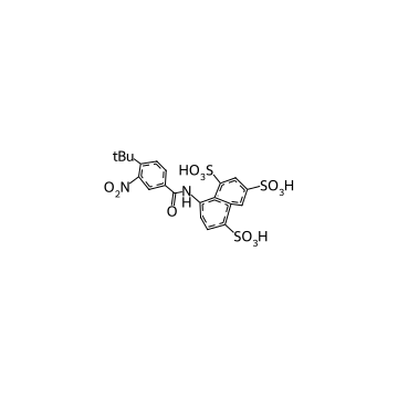 CC(C)(C)c1ccc(C(=O)Nc2ccc(S(=O)(=O)O)c3cc(S(=O)(=O)O)cc(S(=O)(=O)O)c23)cc1[N+](=O)[O-]